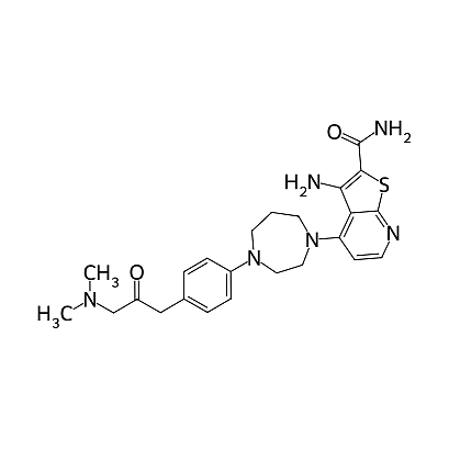 CN(C)CC(=O)Cc1ccc(N2CCCN(c3ccnc4sc(C(N)=O)c(N)c34)CC2)cc1